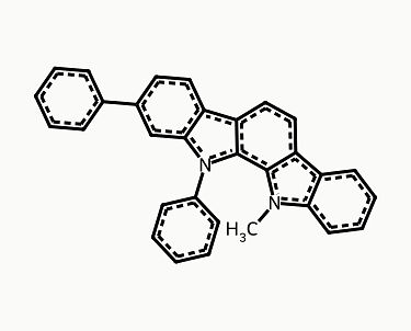 Cn1c2ccccc2c2ccc3c4ccc(-c5ccccc5)cc4n(-c4ccccc4)c3c21